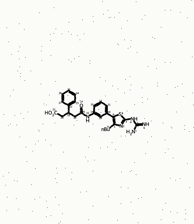 CCCCc1nc(NC(=N)N)sc1-c1cccc(NC(=O)CC(CC(=O)O)c2ccccc2)c1